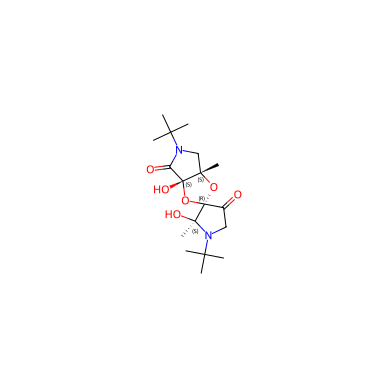 CC(C)(C)N1C[C@]2(C)O[C@]3(O[C@]2(O)C1=O)C(=O)CN(C(C)(C)C)[C@@]3(C)O